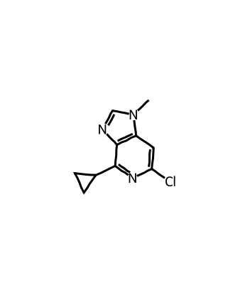 Cn1cnc2c(C3CC3)nc(Cl)cc21